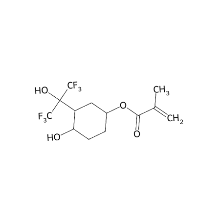 C=C(C)C(=O)OC1CCC(O)C(C(O)(C(F)(F)F)C(F)(F)F)C1